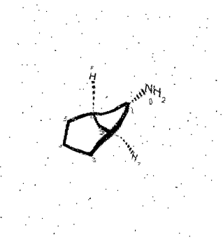 N[C@@H]1[C@H]2CCC[C@@H]12